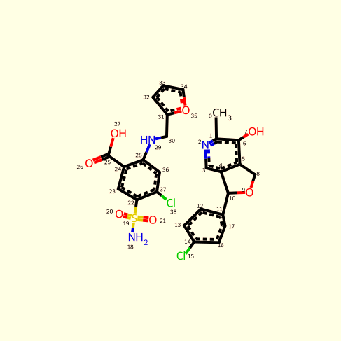 Cc1ncc2c(c1O)COC2c1ccc(Cl)cc1.NS(=O)(=O)c1cc(C(=O)O)c(NCc2ccco2)cc1Cl